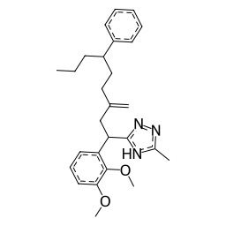 C=C(CCC(CCC)c1ccccc1)CC(c1nnc(C)[nH]1)c1cccc(OC)c1OC